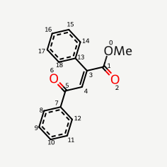 COC(=O)C(=CC(=O)c1ccccc1)c1ccccc1